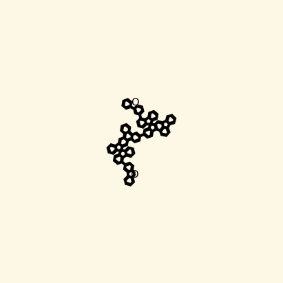 c1ccc2c(c1)-c1cccc3c4c(cc-2c13)C1(c2ccccc2-c2c(-c3ccc5oc6ccccc6c5c3)cccc21)c1cc(-c2ccc3c(c2)c2ccccc2c2cc5c(cc32)C2(c3ccccc3-5)c3ccccc3-c3c(-c5ccc6oc7ccccc7c6c5)cccc32)ccc1-4